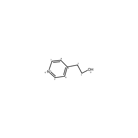 OCCC1=CC=[N+]C=C1